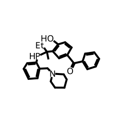 CCC(C)(Pc1ccccc1CN1CCCCC1)c1cc(C(=O)c2ccccc2)ccc1O